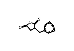 O=C1CC(Cc2ccccc2)C(=S)O1